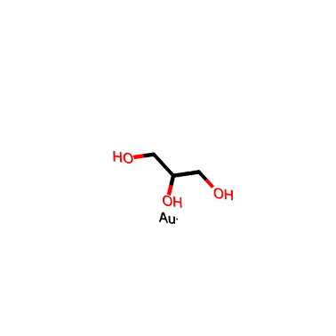 OCC(O)CO.[Au]